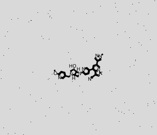 COc1ccc(CN2C[C@H](O)[C@H]3[C@@H]2CN3c2ccc(-c3cc(-c4cnn(C)c4)cn4ncc(C#N)c34)cn2)cn1